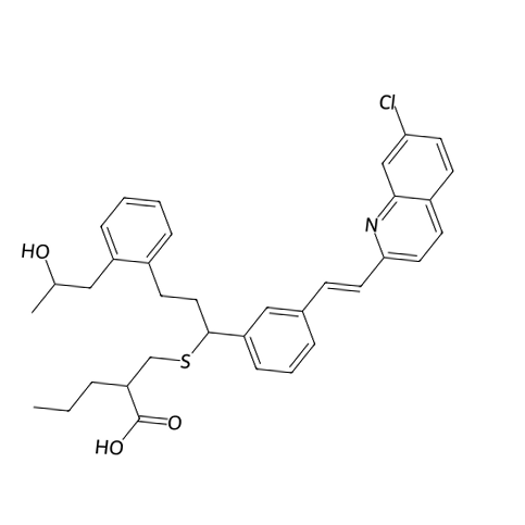 CCCC(CSC(CCc1ccccc1CC(C)O)c1cccc(C=Cc2ccc3ccc(Cl)cc3n2)c1)C(=O)O